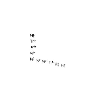 [Hf].[Hf].[Hf].[N-3].[N-3].[N-3].[N-3].[Ti+4].[Ti+4].[Ti+4]